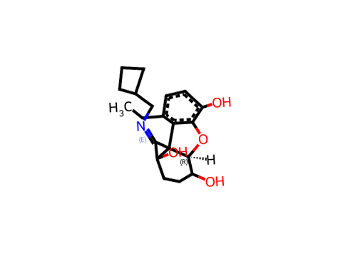 CCc1ccc(O)c2c1C13/C(=N\CC4CCC4)C1(O)CCC(O)[C@@H]3O2